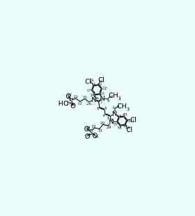 CCN1C(=CC=Cc2n(CC)c3cc(Cl)c(Cl)cc3[n+]2CCCCS(=O)(=O)O)N(CCCCS(=O)(=O)[O-])c2cc(Cl)c(Cl)cc21